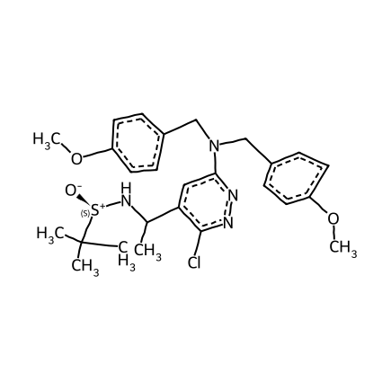 COc1ccc(CN(Cc2ccc(OC)cc2)c2cc(C(C)N[S@+]([O-])C(C)(C)C)c(Cl)nn2)cc1